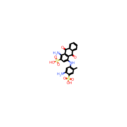 Cc1cc(S(=O)(=O)O)c(N)cc1Nc1cc(S(=O)(=O)O)c(N)c2c1C(=O)c1ccccc1C2=O